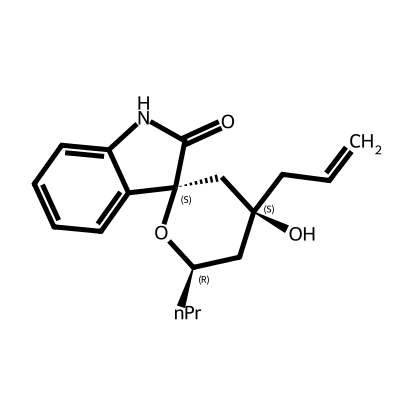 C=CC[C@]1(O)C[C@@H](CCC)O[C@]2(C1)C(=O)Nc1ccccc12